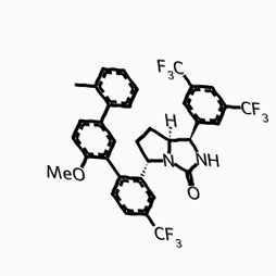 COc1ccc(-c2ccccc2C)cc1-c1ccc(C(F)(F)F)cc1[C@@H]1CC[C@H]2[C@@H](c3cc(C(F)(F)F)cc(C(F)(F)F)c3)NC(=O)N12